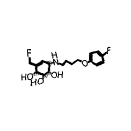 O[C@@H]1[C@@H](O)[C@@H](O)C(CF)=C[C@H]1NCCCCOc1ccc(F)cc1